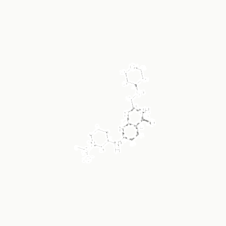 C[S+]([O-])N1CCCC(Nc2ccc3c(=O)[nH]c(CSC4CCOCC4)nc3n2)C1